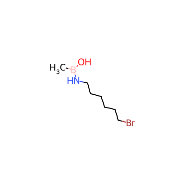 CB(O)NCCCCCCBr